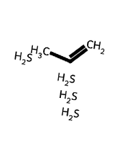 C=CC.S.S.S.S